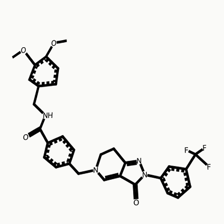 COc1ccc(CNC(=O)c2ccc(CN3C=C4C(=O)N(c5cccc(C(F)(F)F)c5)N=C4CC3)cc2)cc1OC